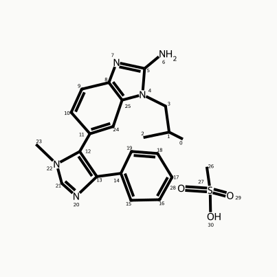 CC(C)Cn1c(N)nc2ccc(-c3c(-c4ccccc4)ncn3C)cc21.CS(=O)(=O)O